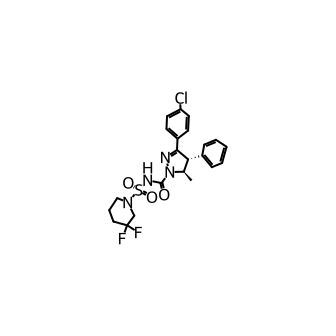 C[C@@H]1[C@@H](c2ccccc2)C(c2ccc(Cl)cc2)=NN1C(=O)NS(=O)(=O)N1CCCC(F)(F)C1